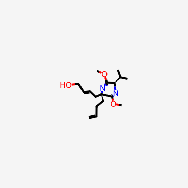 C=CCC[C@@]1(CC=CCO)N=C(OC)[C@@H](C(C)C)N=C1OC